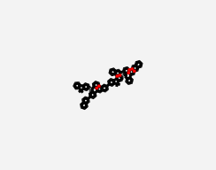 CC1(C)c2ccccc2-c2ccc(N(c3ccccc3)c3cc(-c4ccc5ccccc5c4)ccc3-c3ccc4cc(-c5ccc6c(c5)C(C)(C)c5cc(N(c7ccccc7-c7ccccc7)c7cc(-c8ccc9ccccc9c8)ccc7-c7ccc8ccccc8c7)ccc5-6)ccc4c3)cc21